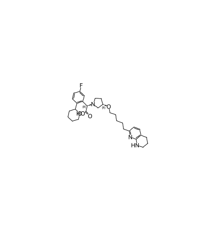 O=C(O)[C@@H](c1cc(F)ccc1C1CCCCO1)N1CC[C@@H](OCCCCCc2ccc3c(n2)NCCC3)C1